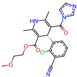 COCCOC(=O)C1=C(C)NC(C)=C(C(=O)n2ccnc2)[C@@H]1c1cccc(C#N)c1Cl